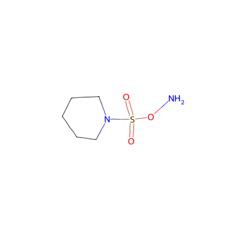 NOS(=O)(=O)N1CCCCC1